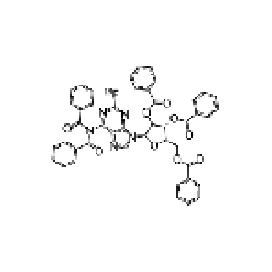 O=C(OC[C@H]1O[C@@H](n2cnc3c(N(C(=O)c4ccccc4)C(=O)c4ccccc4)nc([18F])nc32)[C@@H](OC(=O)c2ccccc2)[C@@H]1OC(=O)c1ccccc1)c1ccccc1